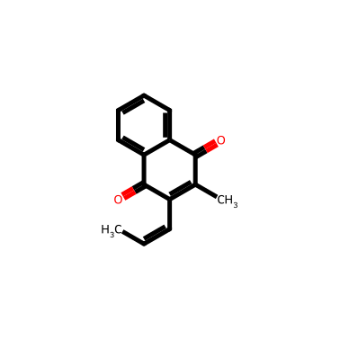 C/C=C\C1=C(C)C(=O)c2ccccc2C1=O